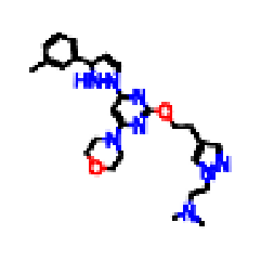 Cc1cccc(C2C=CN(c3cc(N4CCOCC4)nc(OCCc4cnn(CCN(C)C)c4)n3)N2)c1